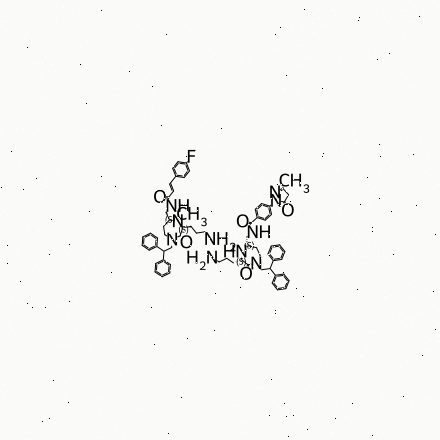 CC1=NN(c2ccc(C(=O)NC[C@@H]3CCN(CC(c4ccccc4)c4ccccc4)C(=O)[C@H](CCCN)N3)cc2)C(=O)C1.CN1[C@H](CNC(=O)C=Cc2ccc(F)cc2)CCN(CC(c2ccccc2)c2ccccc2)C(=O)[C@@H]1CCCN